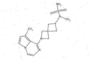 Cc1ccn2ccnc(N3CC4(CC(N(C)S(N)(=O)=O)C4)C3)c12